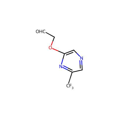 O=CCOc1cncc(C(F)(F)F)n1